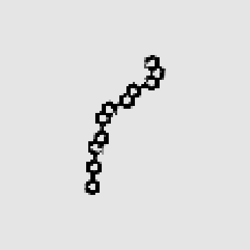 c1ccc(-c2ccc(-c3ccc4cc(-c5ccc6ccc(-c7ccc8cc(-c9ccc%10ccc%11cccnc%11c%10n9)ccc8c7)nc6c5)ccc4n3)cc2)cc1